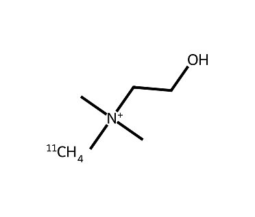 C[N+](C)(C)CCO.[11CH4]